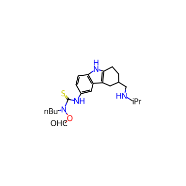 CCCCN(OC=O)C(=S)Nc1ccc2[nH]c3c(c2c1)CC(CNC(C)C)CC3